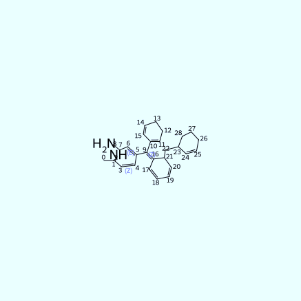 CC(=N)\C=C/C(=C\CN)C(/C1=CCCC=C1)=C1\C=CC=CC1CC1C=CCCC1